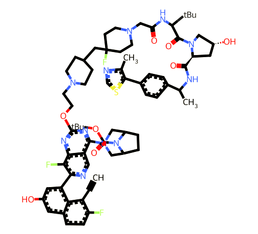 C#Cc1c(F)ccc2cc(O)cc(-c3ncc4c(N5CC6CCC(C5)N6C(=O)OC(C)(C)C)nc(OCCN5CCC(CC6(F)CCN(CC(=O)NC(C(=O)N7C[C@H](O)C[C@H]7C(=O)NC(C)c7ccc(-c8scnc8C)cc7)C(C)(C)C)CC6)CC5)nc4c3F)c12